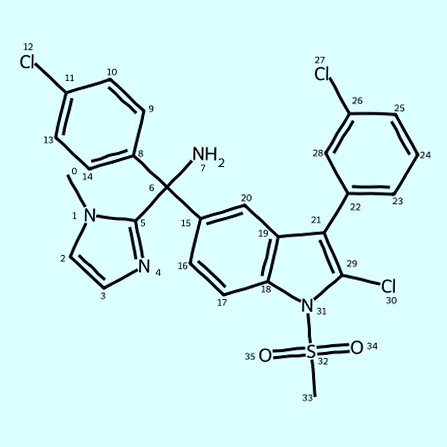 Cn1ccnc1C(N)(c1ccc(Cl)cc1)c1ccc2c(c1)c(-c1cccc(Cl)c1)c(Cl)n2S(C)(=O)=O